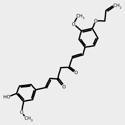 C=CCOc1ccc(/C=C/C(=O)CC(=O)/C=C/c2ccc(O)c(OC)c2)cc1OC